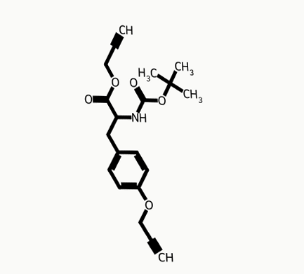 C#CCOC(=O)C(Cc1ccc(OCC#C)cc1)NC(=O)OC(C)(C)C